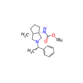 C[C@H](c1ccccc1)N1C[C@@]2(C)CCC[C@@]2(NC(=O)OC(C)(C)C)C1